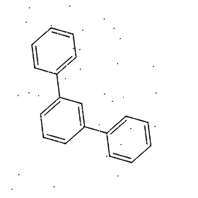 [c]1ccc(-c2cccc(-c3[c]cccc3)c2)cc1